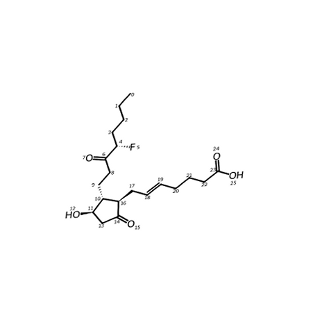 CCCC[C@H](F)C(=O)CC[C@H]1[C@H](O)CC(=O)[C@@H]1CC=CCCCC(=O)O